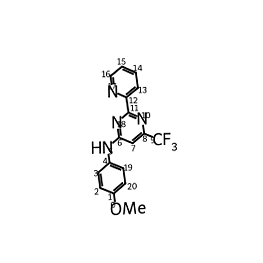 COc1ccc(Nc2cc(C(F)(F)F)nc(-c3ccccn3)n2)cc1